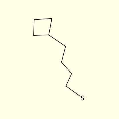 [S]CCCCC1CCC1